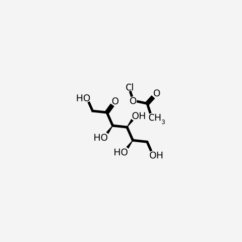 CC(=O)OCl.O=C(CO)[C@H](O)[C@@H](O)[C@H](O)CO